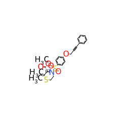 COC(=O)[C@@H]1N(S(=O)(=O)c2ccc(OCC#Cc3ccccc3)cc2)CCSC1(C)C